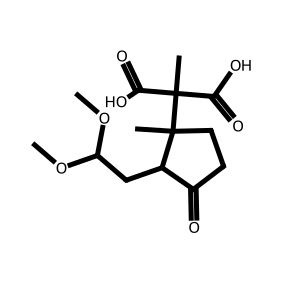 COC(CC1C(=O)CCC1(C)C(C)(C(=O)O)C(=O)O)OC